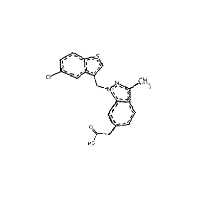 Cc1nn(Cc2csc3ccc(Cl)cc23)c2cc(CC(=O)O)ccc12